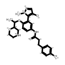 CC(Oc1ccc(NC(=O)CCc2ccc(C(F)(F)F)cc2)cc1-c1c(Cl)cnn1C)C1CNCCO1